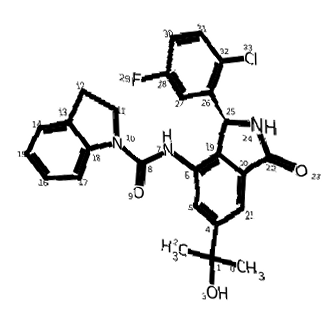 CC(C)(O)c1cc(NC(=O)N2CCc3ccccc32)c2c(c1)C(=O)N[C@@H]2c1cc(F)ccc1Cl